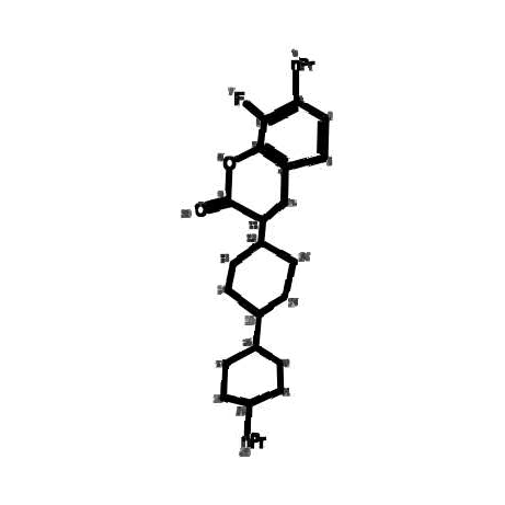 CCCc1ccc2c(c1F)OC(=O)C(C1CCC(C3CCC(CCC)CC3)CC1)C2